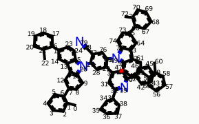 Cc1ccccc1-c1ccc2c(c1)c1cc(-c3ccccc3C)ccc1n2-c1cc(-c2cc(-c3ccccc3)nc(-c3ccccc3)c2)c(-n2c3ccc(-c4ccccc4C)cc3c3cc(-c4ccccc4C)ccc32)cc1C#N